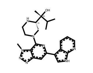 CC(C)[C@@](C)(O)[C@@H]1CN(c2nc(-c3c[nH]c4ncccc34)cc3nnn(C)c23)CCN1